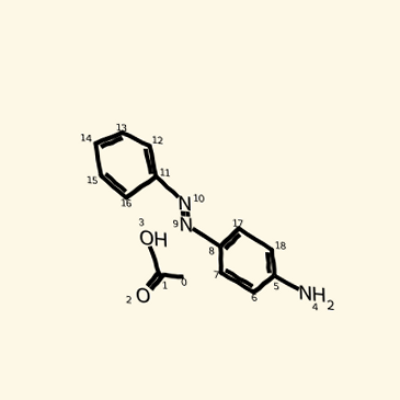 CC(=O)O.Nc1ccc(N=Nc2ccccc2)cc1